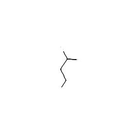 [NH]C(O)CCO